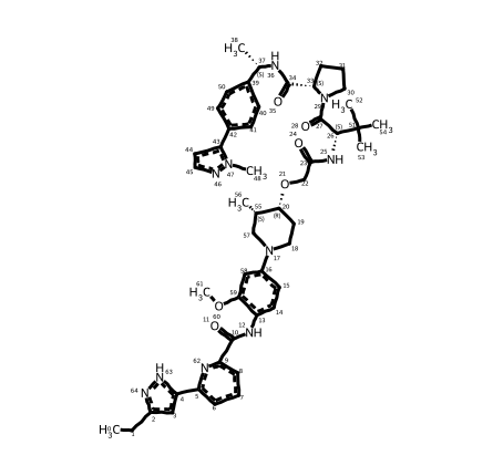 CCc1cc(-c2cccc(C(=O)Nc3ccc(N4CC[C@@H](OCC(=O)N[C@H](C(=O)N5CCC[C@H]5C(=O)N[C@@H](C)c5ccc(-c6ccnn6C)cc5)C(C)(C)C)[C@@H](C)C4)cc3OC)n2)[nH]n1